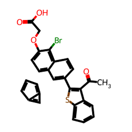 CC(=O)c1c(-c2ccc3c(Br)c(OCC(=O)O)ccc3c2)sc2ccccc12.c1cc2cc-2c1